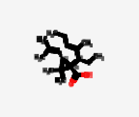 CCC=C(C)[C@@H](CC)[C@@]1(C(=O)O)[C@@H](C=C(C)C)C1(C)C